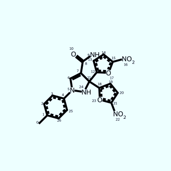 Cc1ccc(N2C=C(C(N)=O)C(c3ccc([N+](=O)[O-])o3)(c3ccc([N+](=O)[O-])o3)N2)cc1